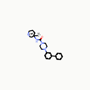 CC1(NC(=O)N2CCN(c3cccc(-c4ccccc4)c3)CC2)CCN2CCC1CC2